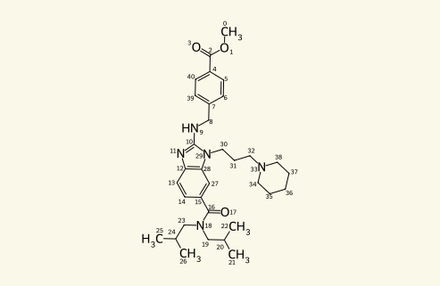 COC(=O)c1ccc(CNc2nc3ccc(C(=O)N(CC(C)C)CC(C)C)cc3n2CCCN2CCCCC2)cc1